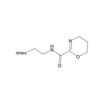 CCCCCCCCNC(=O)C1=NCCCO1